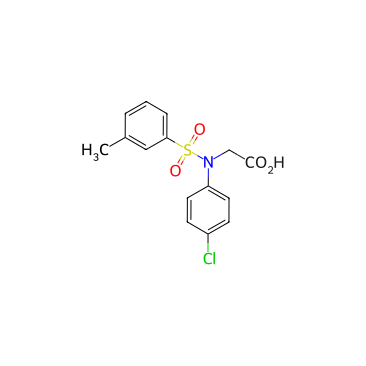 Cc1cccc(S(=O)(=O)N(CC(=O)O)c2ccc(Cl)cc2)c1